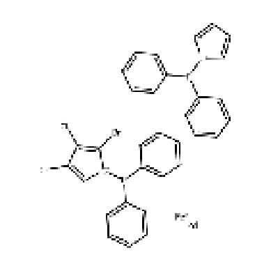 Clc1c[c-](P(c2ccccc2)c2ccccc2)c(Br)c1Cl.[Fe+2].[Pd].c1ccc(P(c2ccccc2)[c-]2cccc2)cc1